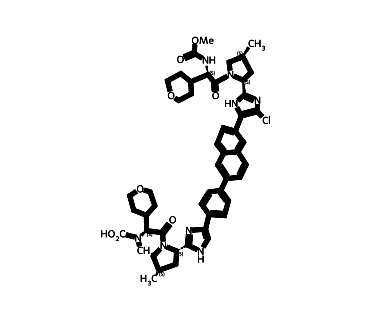 COC(=O)N[C@H](C(=O)N1C[C@@H](C)C[C@H]1c1nc(Cl)c(-c2ccc3cc(-c4ccc(-c5c[nH]c([C@@H]6C[C@H](C)CN6C(=O)[C@H](C6CCOCC6)N(C)C(=O)O)n5)cc4)ccc3c2)[nH]1)C1CCOCC1